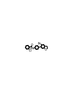 O=C(Nc1ccc(-c2cc3c(cc2Br)CCO3)cc1)c1ccccc1Cl